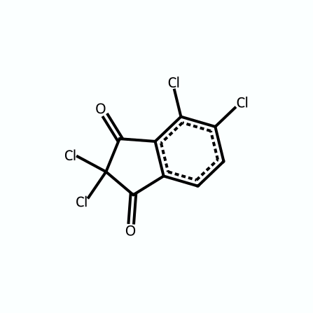 O=C1c2ccc(Cl)c(Cl)c2C(=O)C1(Cl)Cl